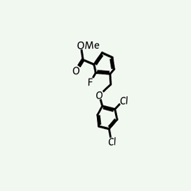 COC(=O)c1cccc(COc2ccc(Cl)cc2Cl)c1F